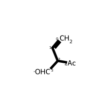 C=CC([C]=O)C(C)=O